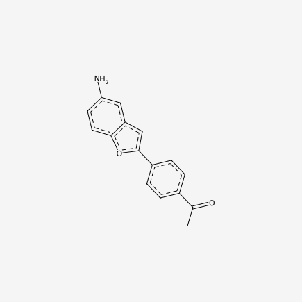 CC(=O)c1ccc(-c2cc3cc(N)ccc3o2)cc1